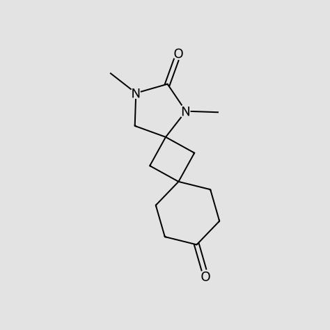 CN1CC2(CC3(CCC(=O)CC3)C2)N(C)C1=O